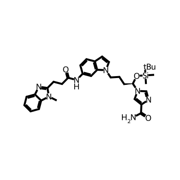 Cn1c(CCC(=O)Nc2ccc3ccn(CCC[C@@H](O[Si](C)(C)C(C)(C)C)n4cnc(C(N)=O)c4)c3c2)nc2ccccc21